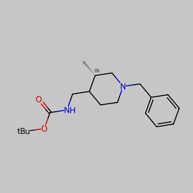 C[C@@H]1CN(Cc2ccccc2)CCC1CNC(=O)OC(C)(C)C